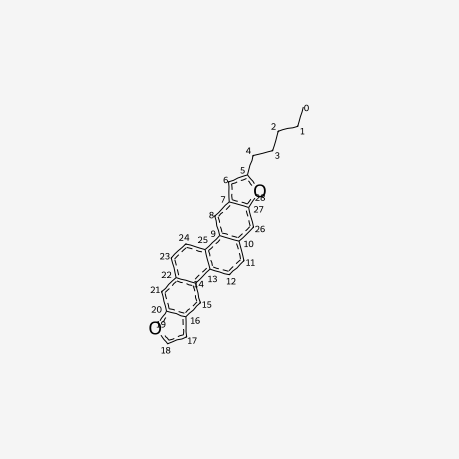 CCCCCc1cc2cc3c(ccc4c5cc6ccoc6cc5ccc34)cc2o1